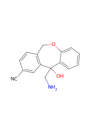 N#Cc1ccc2c(c1)C(O)(CN)c1ccccc1OC2